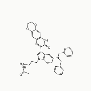 CC(=O)O.NCCCn1cc(-c2nc3cc4c(cc3[nH]c2=O)OCCO4)c2cc(N(Cc3ccccc3)Cc3ccccc3)ccc21